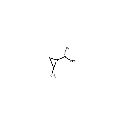 CCCN(CCC)N1CC1C